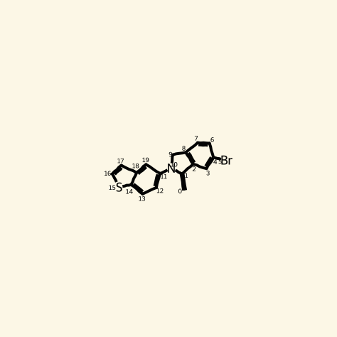 C=C1c2cc(Br)ccc2CN1c1ccc2sccc2c1